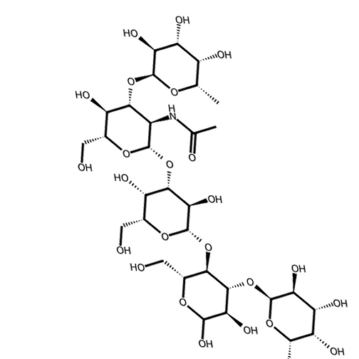 CC(=O)N[C@H]1[C@H](O[C@H]2[C@@H](O)[C@@H](CO)O[C@@H](O[C@H]3[C@H](O[C@@H]4O[C@@H](C)[C@@H](O)[C@@H](O)[C@@H]4O)[C@@H](O)C(O)O[C@@H]3CO)[C@@H]2O)O[C@H](CO)[C@@H](O)[C@@H]1O[C@@H]1O[C@@H](C)[C@@H](O)[C@@H](O)[C@@H]1O